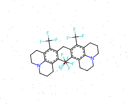 FC(F)(F)c1c2c3c(c(C(F)(F)F)c1Cc1c(C(F)(F)F)c4c5c(c1C(F)(F)F)CCCN5CCC4)CCCN3CCC2